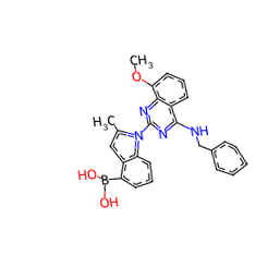 COc1cccc2c(NCc3ccccc3)nc(-n3c(C)cc4c(B(O)O)cccc43)nc12